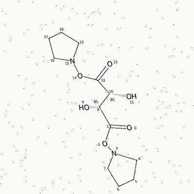 O=C(ON1CCCC1)[C@H](O)[C@@H](O)C(=O)ON1CCCC1